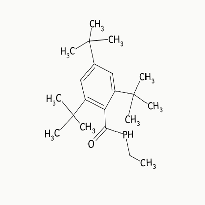 CCPC(=O)c1c(C(C)(C)C)cc(C(C)(C)C)cc1C(C)(C)C